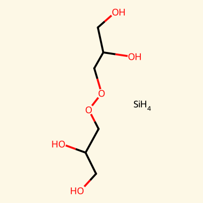 OCC(O)COOCC(O)CO.[SiH4]